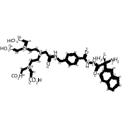 C[C@](N)(C(=O)NNC(=O)c1ccc(CNC(=O)CN(CCN(CC(=O)O)CC(=O)O)CCN(CC(=O)O)CC(=O)O)cc1)c1ccc2ccccc2c1